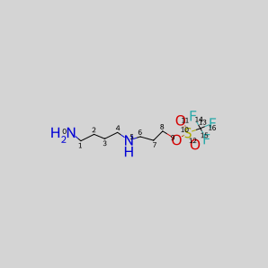 NCCCCNCCCOS(=O)(=O)C(F)(F)F